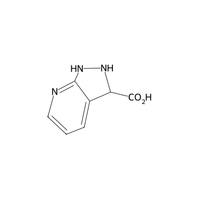 O=C(O)C1NNc2ncccc21